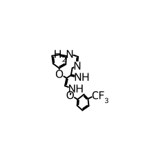 N=C(C/N=C\N)/C(=C\NOc1cccc(C(F)(F)F)c1)Oc1ccccc1